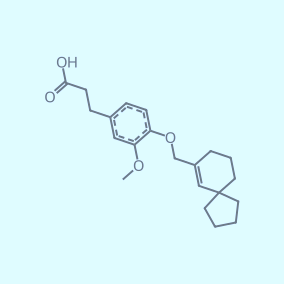 COc1cc(CCC(=O)O)ccc1OCC1=CC2(CCCC2)CCC1